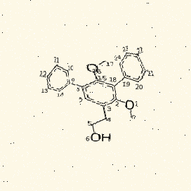 COc1c(CCO)[c]c(-c2ccccc2)c(OC)c1-c1ccccc1